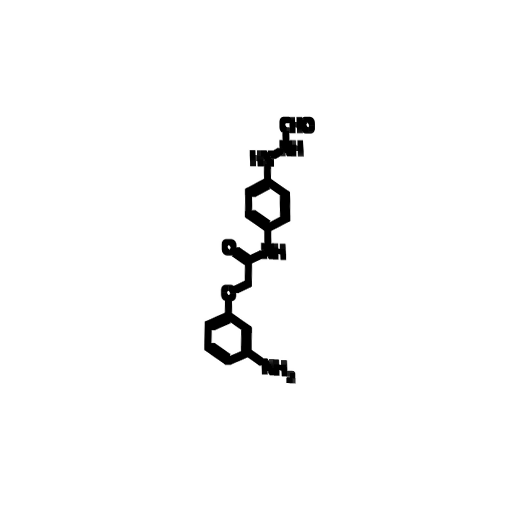 Nc1cccc(OCC(=O)Nc2ccc(NNC=O)cc2)c1